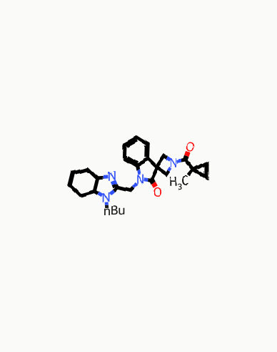 CCCCN1C(CN2C(=O)C3(CN(C(=O)C4(C)CC4)C3)c3ccccc32)=NC2CCCCC21